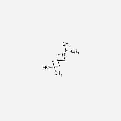 CC(C)N1CC2(C1)CC(C)(O)C2